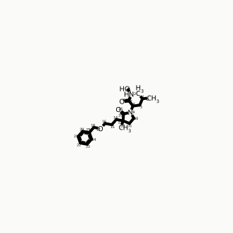 CC(C)CC(C(=O)NO)N1CCC(C)(CCCOCc2ccccc2)C1=O